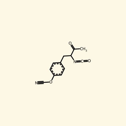 CC(=O)C(Cc1ccc(OC#N)cc1)N=C=O